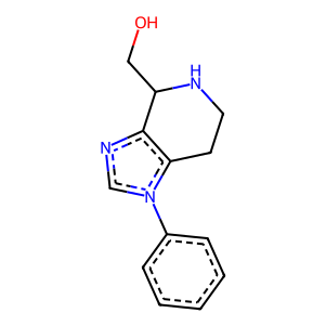 OCC1NCCc2c1ncn2-c1ccccc1